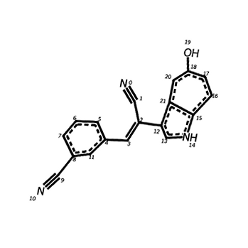 N#CC(=Cc1cccc(C#N)c1)c1c[nH]c2ccc(O)cc12